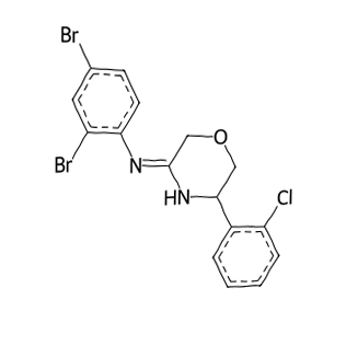 Clc1ccccc1C1COCC(=Nc2ccc(Br)cc2Br)N1